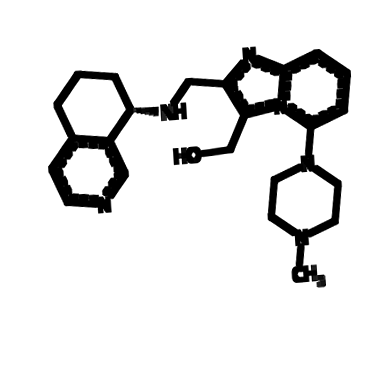 CN1CCN(c2cccc3nc(CN[C@H]4CCCc5ccncc54)c(CO)n23)CC1